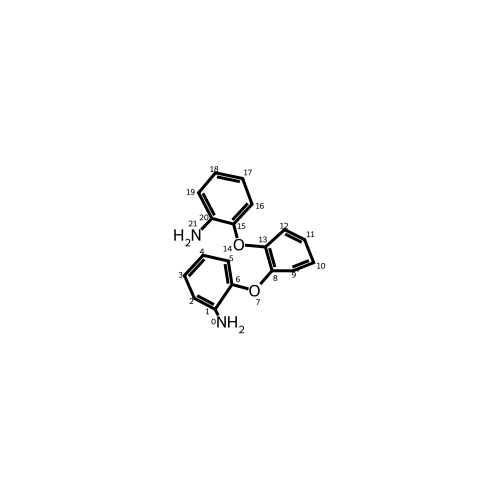 Nc1ccccc1Oc1[c]cccc1Oc1ccccc1N